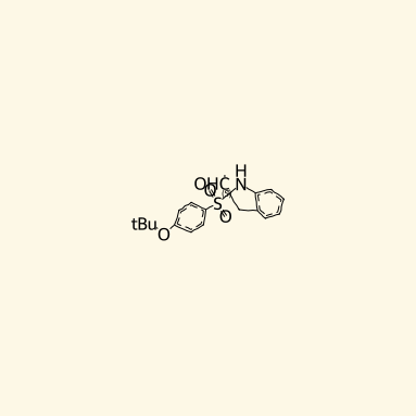 CC(C)(C)Oc1ccc(S(=O)(=O)[C@]2([C]=O)Cc3ccccc3N2)cc1